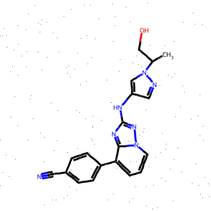 CC(CO)n1cc(Nc2nc3c(-c4ccc(C#N)cc4)cccn3n2)cn1